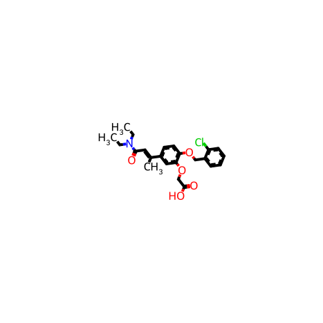 CCN(CC)C(=O)/C=C(\C)c1ccc(OCc2ccccc2Cl)c(OCC(=O)O)c1